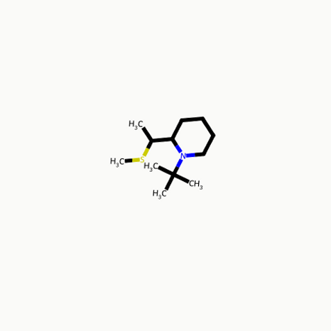 CSC(C)C1CCCCN1C(C)(C)C